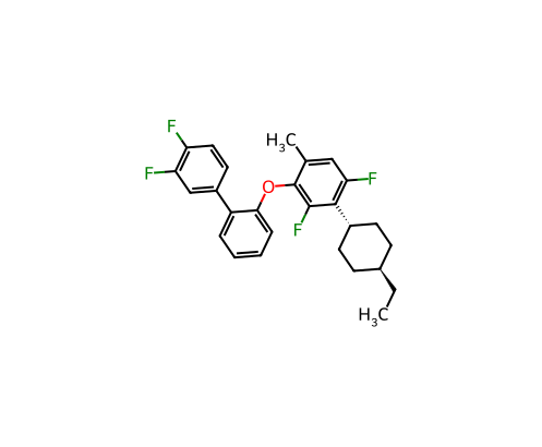 CC[C@H]1CC[C@H](c2c(F)cc(C)c(Oc3ccccc3-c3ccc(F)c(F)c3)c2F)CC1